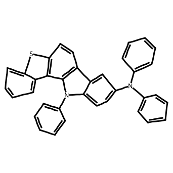 c1ccc(N(c2ccccc2)c2ccc3c(c2)c2ccc4sc5ccccc5c4c2n3-c2ccccc2)cc1